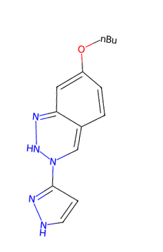 CCCCOc1ccc2c(c1)=NNN(c1cc[nH]n1)C=2